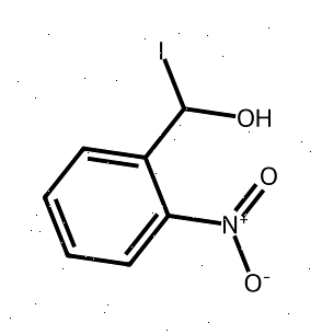 O=[N+]([O-])c1ccccc1C(O)I